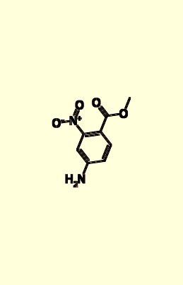 COC(=O)c1ccc(N)cc1[N+](=O)[O-]